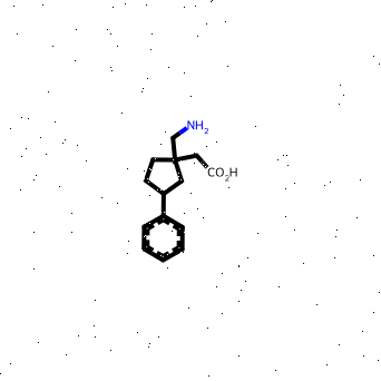 NCC1(CC(=O)O)CCC(c2ccccc2)C1